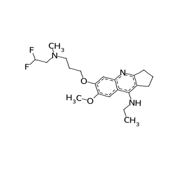 CCNc1c2c(nc3cc(OCCCN(C)CC(F)F)c(OC)cc13)CCC2